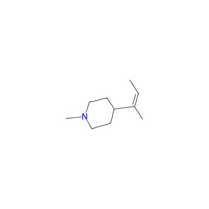 C/C=C(/C)C1CCN(C)CC1